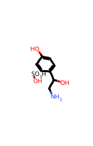 NCC(O)c1ccc(O)cc1.O=S(=O)(O)O